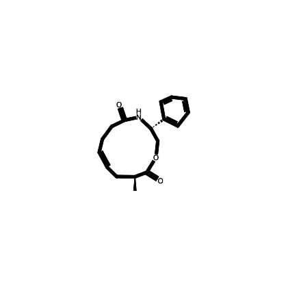 C[C@H]1CC=CCCC(=O)N[C@H](c2ccccc2)COC1=O